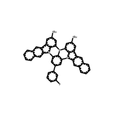 CC(C)(C)c1cc2c3c(c1)c1cc4ccccc4cc1n3-c1cc(-c3cccc(F)c3)cc3c1B2c1cc(C(C)(C)C)cc2c4cc5ccccc5cc4n-3c12